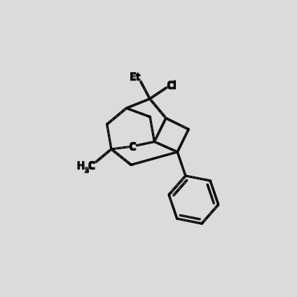 CCC1(Cl)C2CC3(C)CC4(c5ccccc5)CC1C4(C2)C3